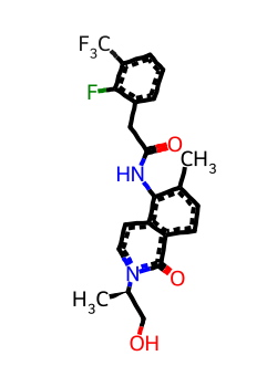 Cc1ccc2c(=O)n([C@H](C)CO)ccc2c1NC(=O)Cc1cccc(C(F)(F)F)c1F